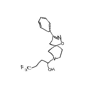 OC(CCC(F)(F)F)N1CCC2(CC(c3ccccc3)=NO2)C1